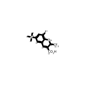 C[Si](C)(C)c1cc(F)c2c(c1)C=C(C(=O)O)C(C(F)(F)F)O2